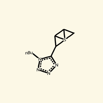 CCCCn1nnnc1C1C2C3CS312